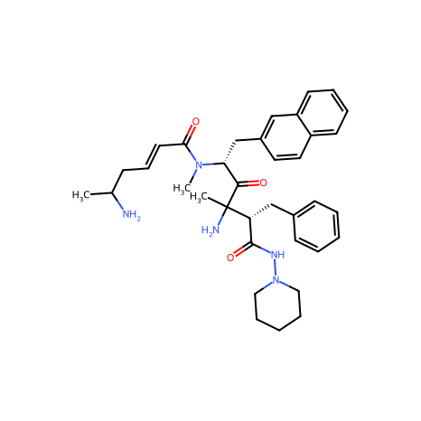 CC(N)C/C=C/C(=O)N(C)[C@H](Cc1ccc2ccccc2c1)C(=O)C(C)(N)[C@H](Cc1ccccc1)C(=O)NN1CCCCC1